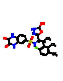 Cc1ccc(F)c([C@@H](C)[C@H](NS(=O)(=O)c2ccc3[nH]c(=O)c(=O)[nH]c3c2)C2=NNC(O)O2)c1C